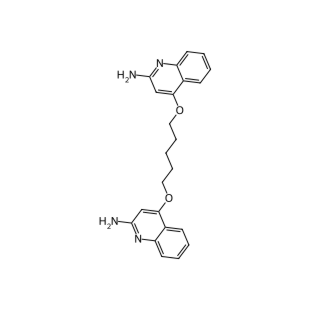 Nc1cc(OCCCCCOc2cc(N)nc3ccccc23)c2ccccc2n1